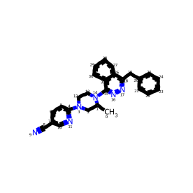 CC1CN(c2ccc(C#N)cn2)CCN1c1nnc(Cc2ccccc2)c2ccccc12